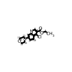 CCOC(=O)c1cnc2cc(N3CCOCC3)ccc2c1Cl